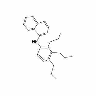 CCCc1ccc(Pc2cccc3ccccc23)c(CCC)c1CCC